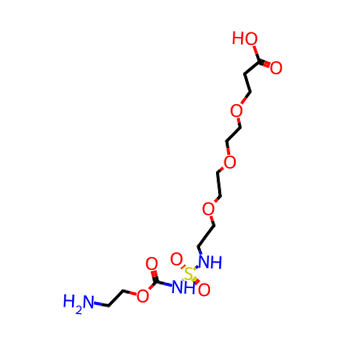 NCCOC(=O)NS(=O)(=O)NCCOCCOCCOCCC(=O)O